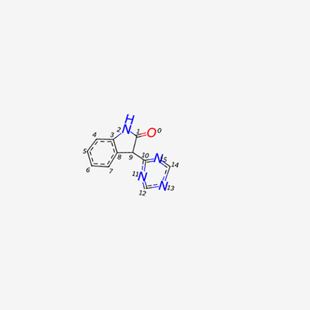 O=C1Nc2ccccc2C1c1ncncn1